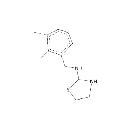 Cc1cccc(CNC2NCCS2)c1C